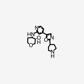 O[C@@H]1COCC[C@H]1Nc1cc(-c2cnc(C3CCNCC3)o2)ccn1